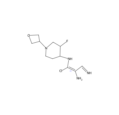 N=C/C(N)=C(/Cl)NC1CCN(C2COC2)CC1F